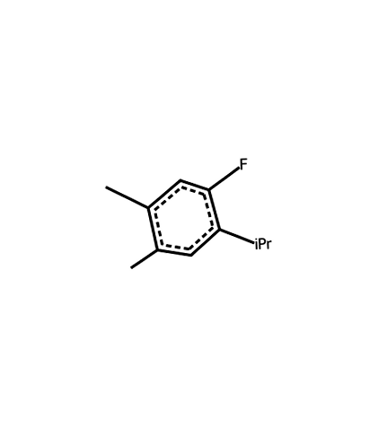 Cc1cc(F)c(C(C)C)cc1C